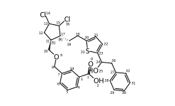 O=C(O)c1cccc(COC[C@H]2CC(Cl)C(Cl)[C@@H]2CCc2ccc(C(O)Cc3ccccc3)s2)c1